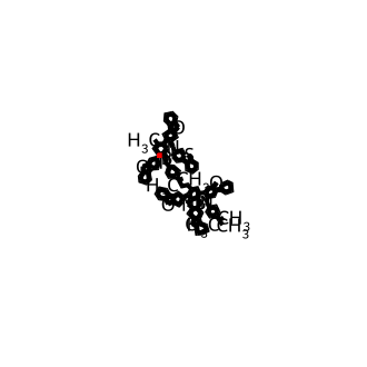 Cc1cc2c3c4c1c1cc5c(cc1n4-c1cc4sc6ccccc6c4cc1B3N(c1ccc(C(C)(C)CCc3cc4c6c7c3c3cc8c(cc3n7-c3cc7oc9ccccc9c7cc3B6N(c3ccc(C(C)(C)C)cc3)c3cc6c(cc3-4)oc3ccccc36)oc3ccccc38)cc1)c1cc3c(cc1-2)oc1ccccc13)oc1ccccc15